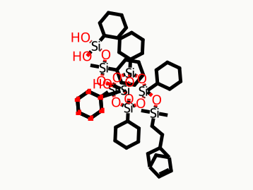 C[Si](C)(CCC1CC2C=CC1C2)O[Si]1(C2CCCCC2)O[Si]2(C3CCCCC3)O[Si](O)(C3CCCCC3)O[Si](C3CCCCC3)(O1)O[Si](O[Si](C)(O[Si](O)(O)C1CCCCC1)C1CCCCC1)(C1CCCCC1)O2